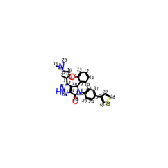 CC(C)c1n[nH]c2c1C(c1ccccc1OCCN(C)C)N(c1ccc(-c3ccsc3)cc1)C2=O